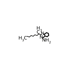 CCCCCCCC(C)c1nc(N)c2ccccc2n1